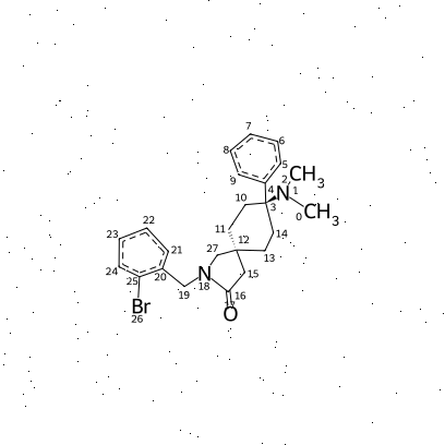 CN(C)[C@]1(c2ccccc2)CC[C@]2(CC1)CC(=O)N(Cc1ccccc1Br)C2